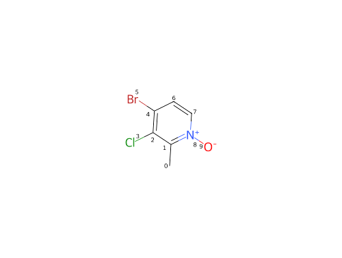 Cc1c(Cl)c(Br)cc[n+]1[O-]